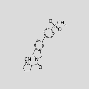 CS(=O)(=O)c1ccc(-c2ccc3c(c2)CN(C(=O)[C@@H]2CCCN2C#N)C3)cc1